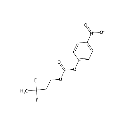 CC(F)(F)CCOC(=O)Oc1ccc([N+](=O)[O-])cc1